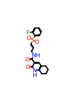 O=C(NC/C=C/S(=O)(=O)c1ccccc1F)c1cc2c([nH]c1=O)CCCC2